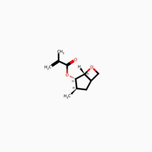 C=C(C)C(=O)O[C@H]1[C@H](C)CC2CO[C@H]21